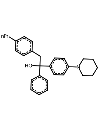 CCCc1ccc(CC(O)(c2ccccc2)c2ccc(N3CCCCC3)cc2)cc1